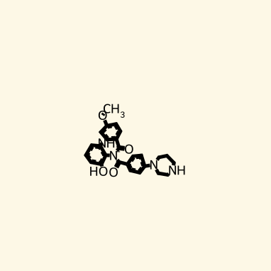 COc1ccc(C(=O)N(C(=O)c2ccc(N3CCCNCC3)cc2)c2c(N)cccc2O)cc1